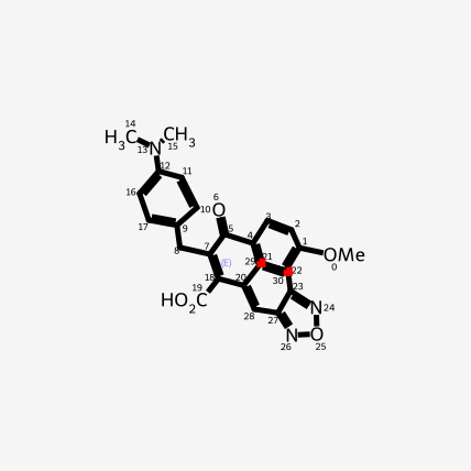 COc1ccc(C(=O)/C(Cc2ccc(N(C)C)cc2)=C(/C(=O)O)c2ccc3nonc3c2)cc1